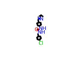 O=C(NCc1ccc(Cl)cc1)Nc1ccc(Cn2cccn2)cc1